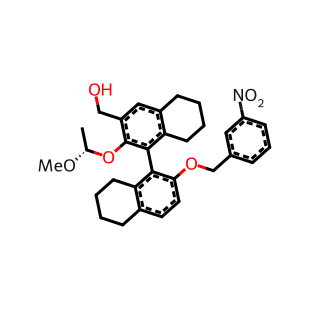 CO[C@H](C)Oc1c(CO)cc2c(c1-c1c(OCc3cccc([N+](=O)[O-])c3)ccc3c1CCCC3)CCCC2